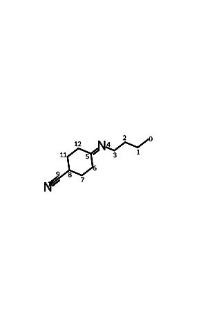 CCCCN=C1CCC(C#N)CC1